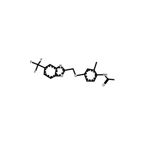 CC(=O)Nc1ccc(OCc2nc3cc(C(F)(F)F)ccc3o2)cc1C